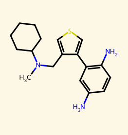 CN(Cc1cscc1-c1cc(N)ccc1N)C1CCCCC1